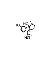 C[C@H]1CCC[C@@H](CN(C)C)[C@]1(O)c1cccc(O)c1.Cl